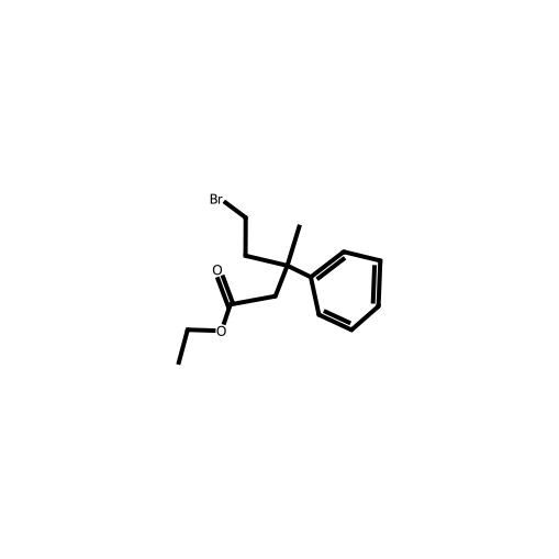 CCOC(=O)CC(C)(CCBr)c1ccccc1